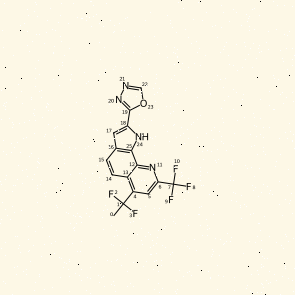 CC(F)(F)c1cc(C(F)(F)F)nc2c1ccc1cc(-c3nnco3)[nH]c12